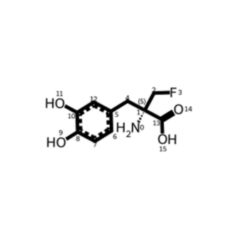 N[C@@](CF)(Cc1ccc(O)c(O)c1)C(=O)O